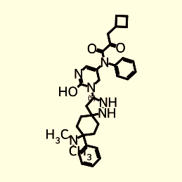 CN(C)C1(c2ccccc2)CCC2(CC1)C[C@@H](N1CC(N(C(=O)C(=O)CC3CCC3)c3ccccc3)=CN=C1O)NN2